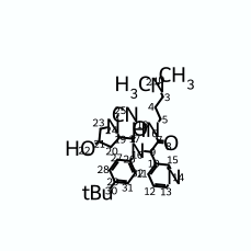 CN(C)CCCNC(=O)C(c1cccnc1)N(C(=O)C1CC(O)CN1C#N)c1ccc(C(C)(C)C)cc1